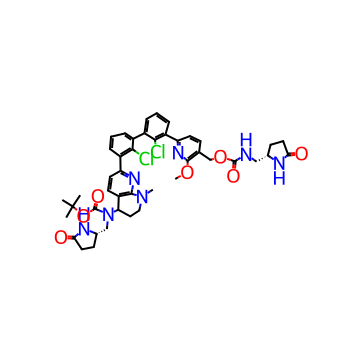 COc1nc(-c2cccc(-c3cccc(-c4ccc5c(n4)N(C)CCC5N(C[C@@H]4CCC(=O)N4)C(=O)OC(C)(C)C)c3Cl)c2Cl)ccc1COC(=O)NC[C@@H]1CCC(=O)N1